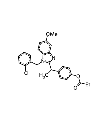 CCC(=O)Oc1ccc(C(C)c2nc3cc(OC)ccc3n2Cc2ccccc2Cl)cc1